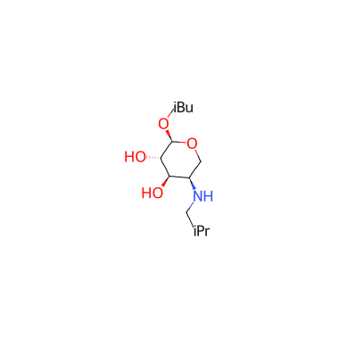 CCC(C)O[C@H]1OC[C@@H](NCC(C)C)[C@@H](O)[C@@H]1O